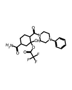 NC(=O)C1CCC(C(=O)N2CCN(c3ccccc3)CC2)C(O)(OC(=O)C(F)(F)F)C1